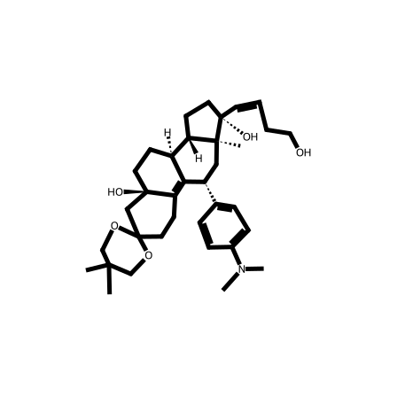 CN(C)c1ccc([C@H]2C[C@@]3(C)[C@@H](CC[C@@]3(O)/C=C\CCO)[C@@H]3CC[C@@]4(O)CC5(CCC4=C32)OCC(C)(C)CO5)cc1